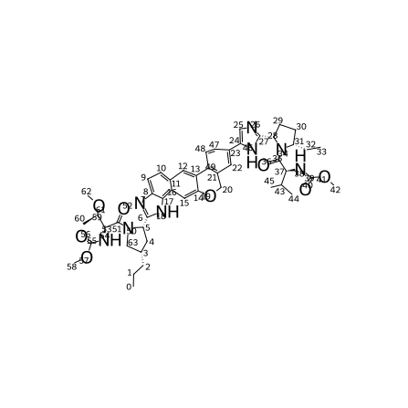 CCC[C@H]1C[C@@H](c2nc3ccc4cc5c(cc4c3[nH]2)OCc2cc(-c3cnc([C@@H]4CC[C@H](CC)N4C(=O)[C@@H](NC(=O)OC)C(C)C)[nH]3)ccc2-5)N(C(=O)[C@@H](NC(=O)OC)[C@@H](C)OC)C1